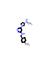 CN[C@H]1CCN(c2cnnc(NCc3ccc(C)cc3)c2)C1